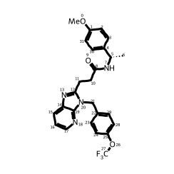 COc1ccc([C@H](C)NC(=O)CCc2nc3cccnc3n2Cc2ccc(OC(F)(F)F)cc2)cc1